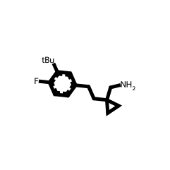 CC(C)(C)c1cc(CCC2(CN)CC2)ccc1F